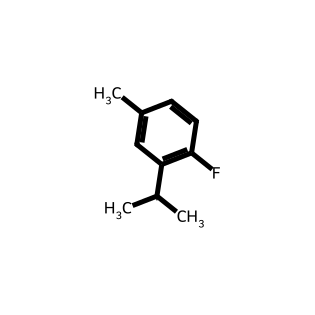 C[C](C)c1cc(C)ccc1F